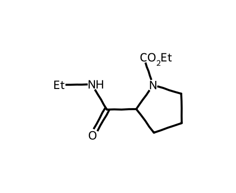 CCNC(=O)C1CCCN1C(=O)OCC